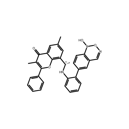 Cc1cc([C@H](C)Nc2ccccc2-c2ccc3c(c2)C=NOB3O)c2oc(-c3ccccc3)c(C)c(=O)c2c1